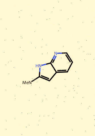 CNc1cc2cccnc2[nH]1